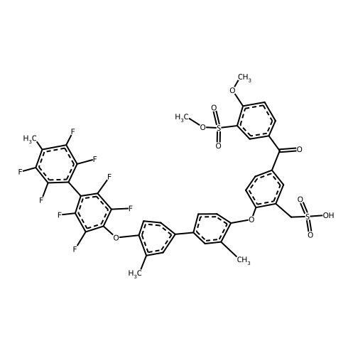 COc1ccc(C(=O)c2ccc(Oc3ccc(-c4ccc(Oc5c(F)c(F)c(-c6c(F)c(F)c(C)c(F)c6F)c(F)c5F)c(C)c4)cc3C)c(CS(=O)(=O)O)c2)cc1S(=O)(=O)OC